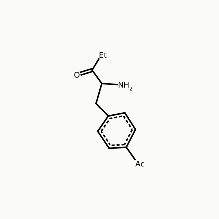 CCC(=O)C(N)Cc1ccc(C(C)=O)cc1